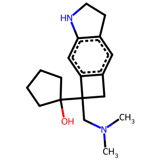 CN(C)CC1(C2(O)CCCC2)Cc2cc3c(cc21)NCC3